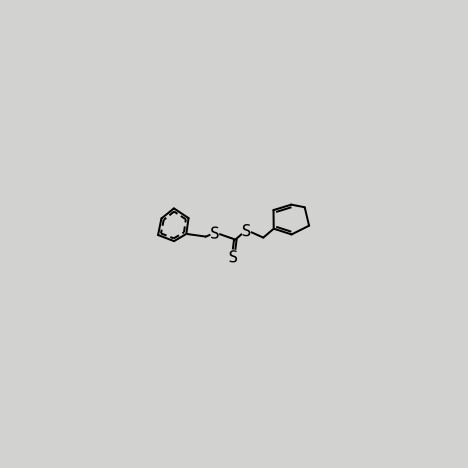 S=C(SCC1=CCCC=C1)SCc1ccccc1